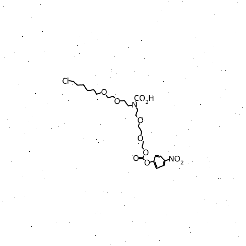 O=C(OCCOCCOCCN(CCOCCOCCCCCCCl)C(=O)O)Oc1ccc([N+](=O)[O-])cc1